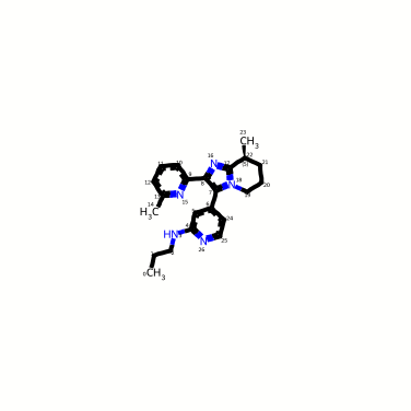 CCCNc1cc(-c2c(-c3cccc(C)n3)nc3n2CCC[C@@H]3C)ccn1